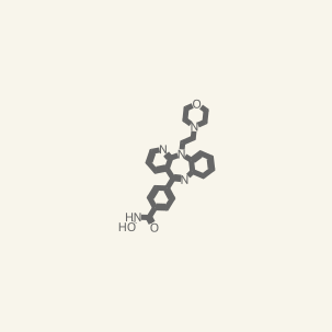 O=C(NO)c1ccc(C2=NC3CC=CC=C3N(CCN3CCOCC3)c3ncccc32)cc1